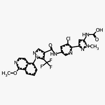 COc1nccc2c(-n3ncc(C(=O)Nc4cnc(-c5cc(NC(=O)O)n(C)n5)c(Cl)c4)c3C(F)(F)F)cccc12